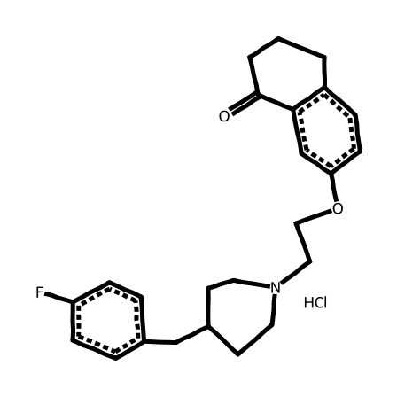 Cl.O=C1CCCc2ccc(OCCN3CCC(Cc4ccc(F)cc4)CC3)cc21